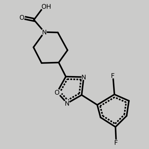 O=C(O)N1CCC(c2nc(-c3cc(F)ccc3F)no2)CC1